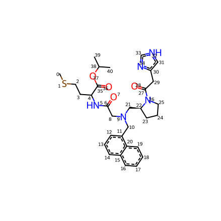 CSCCC(NC(=O)CN(Cc1cccc2ccccc12)C[C@@H]1CCCN1C(=O)Cc1c[nH]cn1)C(=O)OC(C)C